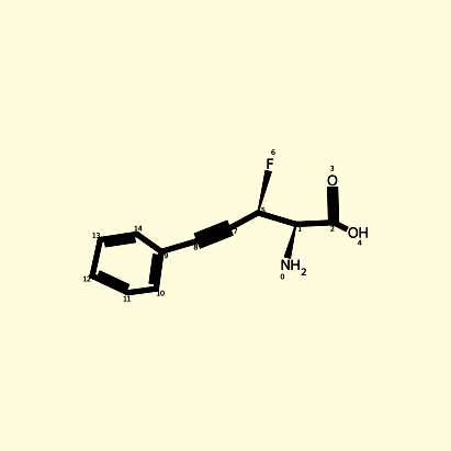 N[C@H](C(=O)O)[C@H](F)C#Cc1ccccc1